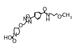 COCCCNC(=O)c1ccc(-c2nc(COC3CCN(C(=O)O)CC3)no2)cc1